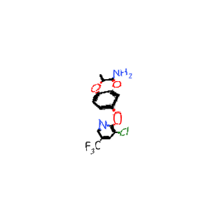 CC(Oc1ccc(Oc2ncc(C(F)(F)F)cc2Cl)cc1)C(N)=O